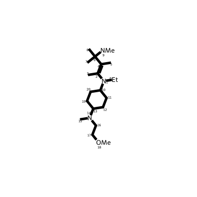 CCN(/C(C)=C(\C)C(C)(C)NC)C1CCC(N(C)CCOC)CC1